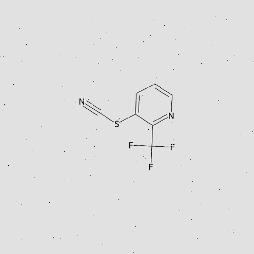 N#CSc1cccnc1C(F)(F)F